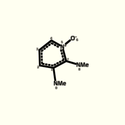 CNc1ccc[n+]([O-])c1NC